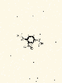 COc1ccc(OC)cc1.O=[NH+][O-]